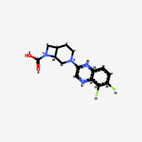 O=C(O)N1CC2CCN(c3cnc4c(F)c(F)ccc4n3)CC21